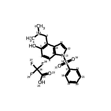 CN(C)Cc1c(O)ccc2c1ccn2S(=O)(=O)c1ccccc1.O=C(O)C(F)(F)F